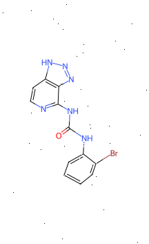 O=C(Nc1ccccc1Br)Nc1nccc2[nH]nnc12